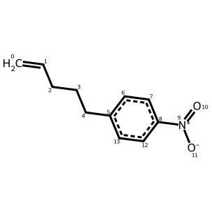 C=CCCCc1ccc([N+](=O)[O-])cc1